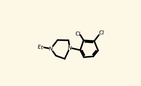 CCN1CCN(c2cccc(Cl)c2Cl)CC1